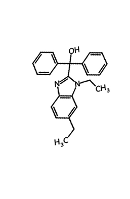 CCc1ccc2nc(C(O)(c3ccccc3)c3ccccc3)n(CC)c2c1